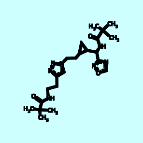 CC(C)(C)C(=O)NCCc1cn(CCC2CC2C(NC(=O)C(C)(C)C)c2ncon2)nn1